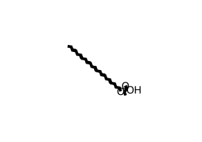 CCC=CCC=CCC=CCC=CCC=CCC=CCCCOC(C)C(=O)O